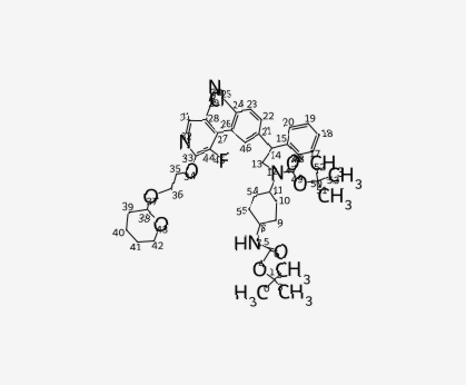 CC(C)(C)OC(=O)NC1CCC(N(CC(c2ccccc2)c2ccc(Cl)c(-c3c(C#N)cnc(OCCOC4CCCCO4)c3F)c2)C(=O)OC(C)(C)C)CC1